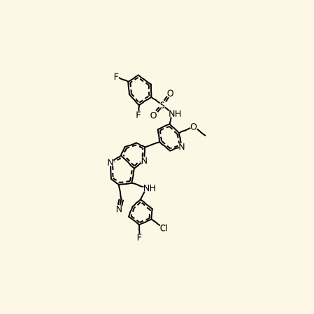 COc1ncc(-c2ccc3ncc(C#N)c(Nc4ccc(F)c(Cl)c4)c3n2)cc1NS(=O)(=O)c1ccc(F)cc1F